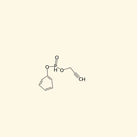 C#CCO[PH](=O)Oc1ccccc1